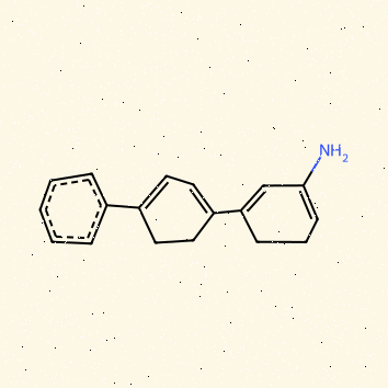 NC1=CCCC(C2=CC=C(c3ccccc3)CC2)=C1